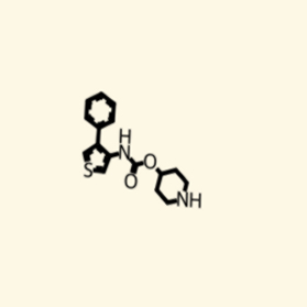 O=C(Nc1cscc1-c1ccccc1)OC1CCNCC1